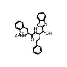 CC(=O)N[C@@H](Cc1ccccc1C(F)(F)F)C(=O)N[C@@H](CCc1ccccc1)C(O)c1nc2ccccc2o1